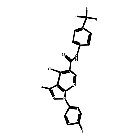 Cc1nn(-c2ccc(F)cc2)c2ncc(C(=O)Nc3ccc(C(F)(F)F)cc3)c(Cl)c12